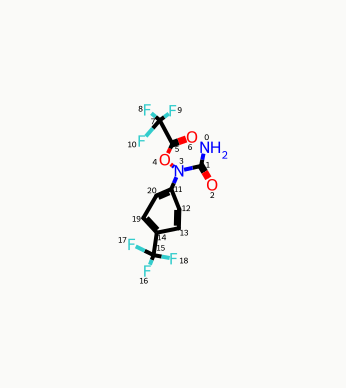 NC(=O)N(OC(=O)C(F)(F)F)c1ccc(C(F)(F)F)cc1